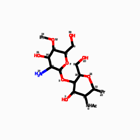 CC(=O)NC1C(O)C(OC2OC(CO)C(OC(C)C)C(O)C2N)C(CO)OC1C(C)C